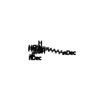 CCCCCCCCCCCCCCCCCCCCCCC(=O)N[C@@H](CO)[C@H](O)[C@H](O)CCCCCCCCCCCCCC